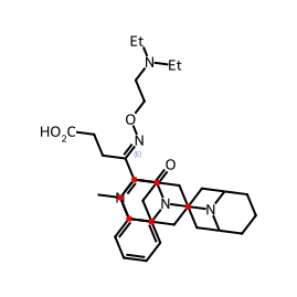 CCN(CC)CCO/N=C(\CCC(=O)O)c1nc2ccccc2n(C2CC3CCCC(C2)N3C2CC3CC(C)CC(C3)C2)c1=O